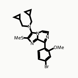 COc1cc(Br)ccc1-c1nccn2c(N(CC3CC3)CC3CC3)c(SC)nc12